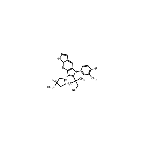 Cc1cc(-n2c(C(C)(C)CC#N)c([C@@H]3CC[C@@](F)(C(=O)O)C3)c3nc4[nH]ncc4cc32)ccc1F